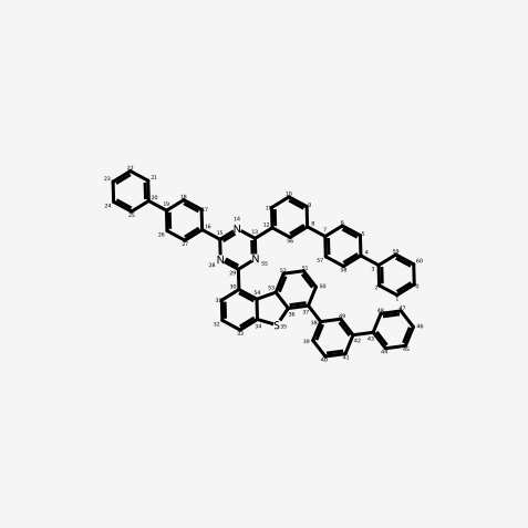 c1ccc(-c2ccc(-c3cccc(-c4nc(-c5ccc(-c6ccccc6)cc5)nc(-c5cccc6sc7c(-c8cccc(-c9ccccc9)c8)cccc7c56)n4)c3)cc2)cc1